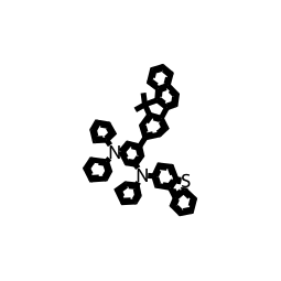 CC1(C)c2cc(-c3cc(N(c4ccccc4)c4ccccc4)cc(N(c4ccccc4)c4ccc5sc6ccccc6c5c4)c3)ccc2-c2ccc3ccccc3c21